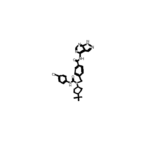 CC(C)(C)C1CCC(N(Cc2ccc(C(=O)Nc3ncnc4[nH]ncc34)cc2)C(=O)Nc2ccc(Cl)cc2)CC1